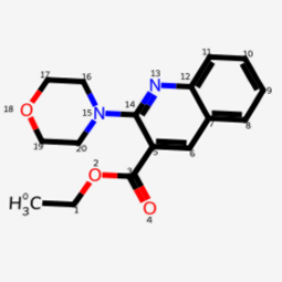 CCOC(=O)c1cc2ccccc2nc1N1CCOCC1